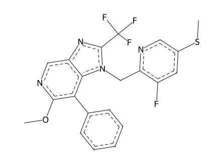 COc1ncc2nc(C(F)(F)F)n(Cc3ncc(SC)cc3F)c2c1-c1ccccc1